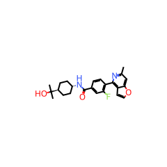 Cc1cc2occc2c(-c2ccc(C(=O)N[C@H]3CC[C@H](C(C)(C)O)CC3)cc2F)n1